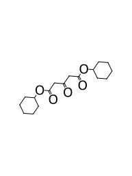 O=C(CC(=O)OC1CCCCC1)CC(=O)OC1CCCCC1